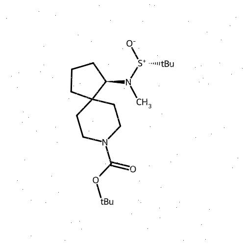 CN([C@@H]1CCCC12CCN(C(=O)OC(C)(C)C)CC2)[S@+]([O-])C(C)(C)C